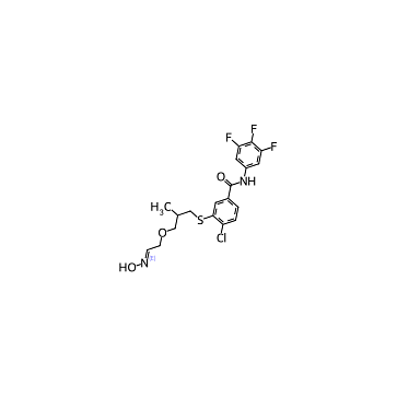 CC(COC/C=N/O)CSc1cc(C(=O)Nc2cc(F)c(F)c(F)c2)ccc1Cl